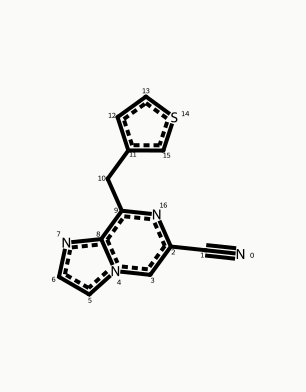 N#Cc1cn2ccnc2c(Cc2ccsc2)n1